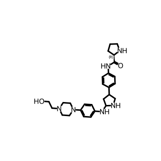 O=C(Nc1ccc(C2CNC(Nc3ccc(N4CCN(CCO)CC4)cc3)C2)cc1)[C@H]1CCCN1